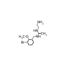 C=C(NCCN)NCc1cccc(Br)c1OC